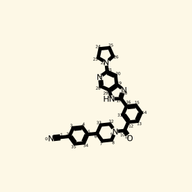 N#Cc1ccc(C2CCN(C(=O)c3cccc(-c4nc5cc(N6CCCC6)ncc5[nH]4)c3)CC2)cc1